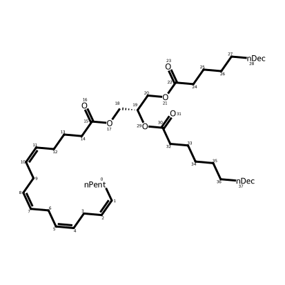 CCCCC/C=C\C/C=C\C/C=C\C/C=C\CCCC(=O)OC[C@H](COC(=O)CCCCCCCCCCCCCC)OC(=O)CCCCCCCCCCCCCCC